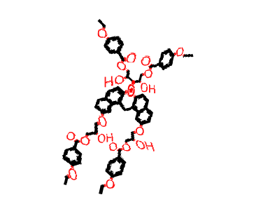 CCOc1ccc(C(=O)OCC(O)COc2ccc3ccc(OCC(O)COC(=O)c4ccc(OCC)cc4)c(Cc4c(OCC(O)COC(=O)c5ccc(OCC)cc5)ccc5ccc(OCC(O)COC(=O)c6ccc(OCC)cc6)cc45)c3c2)cc1